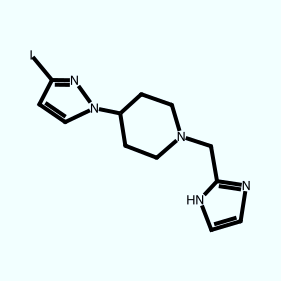 Ic1ccn(C2CCN(Cc3ncc[nH]3)CC2)n1